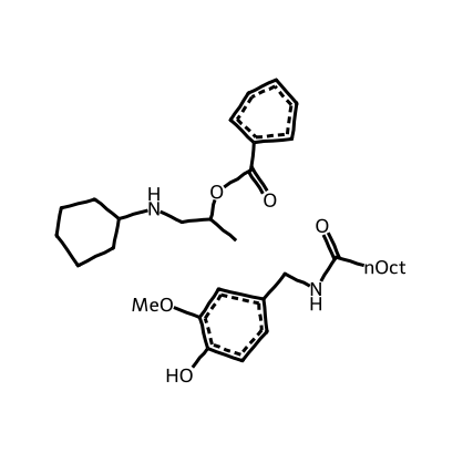 CC(CNC1CCCCC1)OC(=O)c1ccccc1.CCCCCCCCC(=O)NCc1ccc(O)c(OC)c1